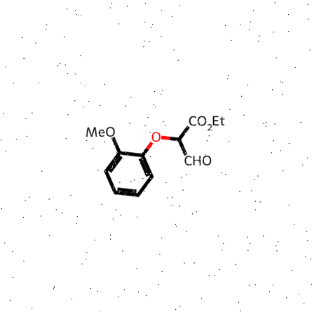 CCOC(=O)C(C=O)Oc1ccccc1OC